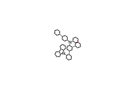 c1ccc(-c2ccc(N(c3ccccc3)c3ccc(-c4ccccc4-n4c5ccccc5c5ccccc54)cc3-c3ccccc3)cc2)cc1